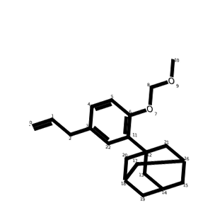 [CH]=CCc1ccc(OCOC)c(C23CC4CC(CC(C4)C2)C3)c1